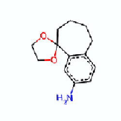 Nc1ccc2c(c1)C1(CCCC2)OCCO1